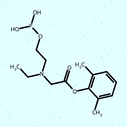 CCN(CCOP(O)O)CC(=O)Oc1c(C)cccc1C